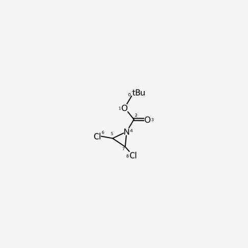 CC(C)(C)OC(=O)N1C(Cl)C1Cl